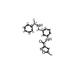 Cc1cc(C(=O)Nc2cccc(CN[C@H](C)c3ccccc3)c2)no1